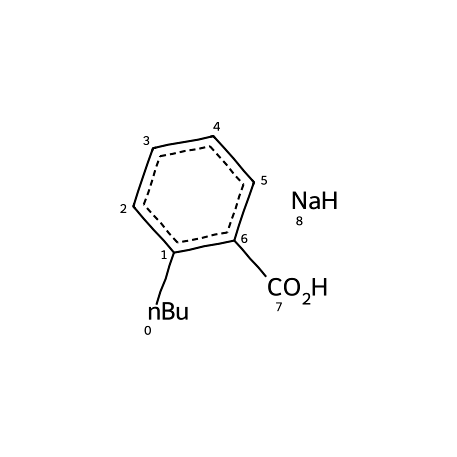 CCCCc1ccccc1C(=O)O.[NaH]